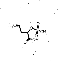 C=CCC(OS(C)(=O)=O)C(=O)O